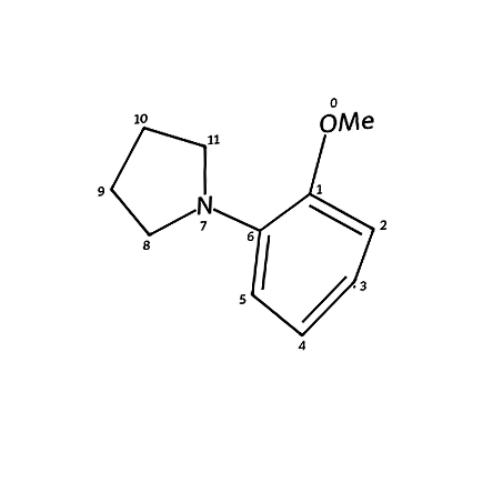 COc1c[c]ccc1N1CCCC1